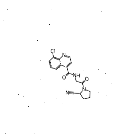 N#CC1CCCN1C(=O)CNC(=O)c1ccnc2c(Cl)cccc12